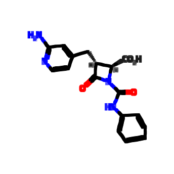 Nc1cc(C[C@H]2C(=O)N(C(=O)Nc3ccccc3)[C@@H]2C(=O)O)ccn1